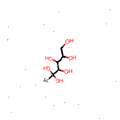 CC(=O)C(O)(O)C(O)C(O)C(O)CO